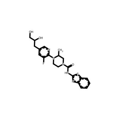 CC1CN(C(=O)Nc2nc3ccccc3s2)CCN1c1ncc(CC(O)CO)cc1F